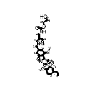 CCc1ccc(OC)c(S(=O)(=O)Nc2noc3cc(Cn4cc(CNC(=O)OCCO)cn4)cc(OC)c23)c1